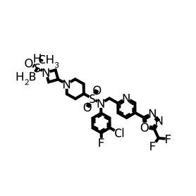 B[SH](C)(=O)N1CC(N2CCC(S(=O)(=O)N(Cc3ccc(-c4nnc(C(F)F)o4)cn3)c3ccc(F)c(Cl)c3)CC2)C1